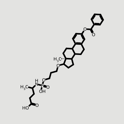 CC(CCC(=O)O)NP(=O)(O)OCCCOC1CCC2C3CCc4cc(OC(=O)c5ccccc5)ccc4C3CC[C@]12C